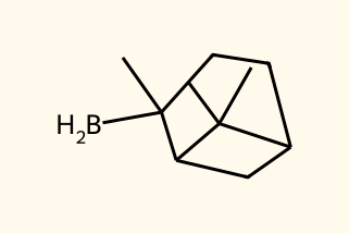 BC1(C)CCC2CC1C2(C)C